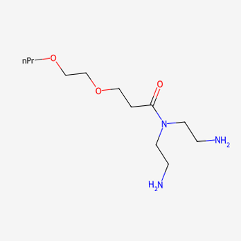 CCCOCCOCCC(=O)N(CCN)CCN